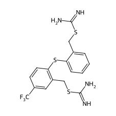 N=C(N)SCc1ccccc1Sc1ccc(C(F)(F)F)cc1CSC(=N)N